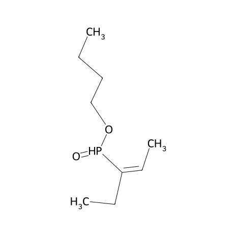 CC=C(CC)[PH](=O)OCCCC